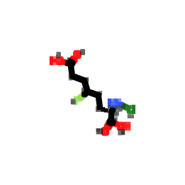 O=C(O)CCC(F)CC[C@H](NCl)C(=O)O